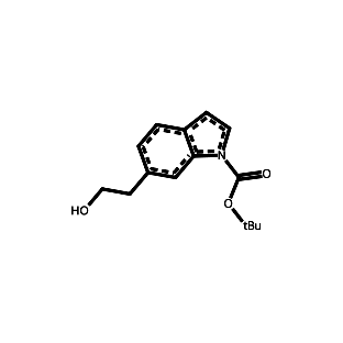 CC(C)(C)OC(=O)n1ccc2ccc(CCO)cc21